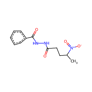 CC(CCC(=O)NNC(=O)c1ccccc1)[N+](=O)[O-]